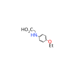 CCOc1ccc(NCC(=O)O)cc1